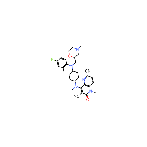 Cc1cc(F)ccc1N(CC1CN(C)CCO1)C1CCC(N(C)c2c(C#N)c(=O)n(C)c3ccc(C#N)nc23)CC1